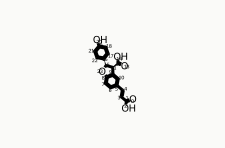 O=C(O)/C=C/c1ccc2c(c1)[C@H](C(=O)O)[C@@H](c1ccc(O)cc1)O2